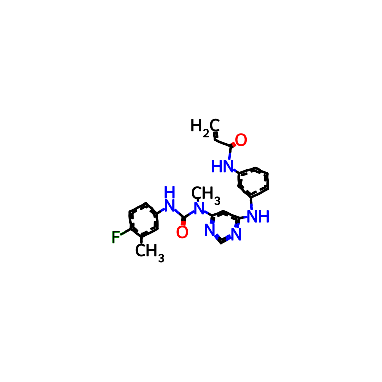 C=CC(=O)Nc1cccc(Nc2cc(N(C)C(=O)Nc3ccc(F)c(C)c3)ncn2)c1